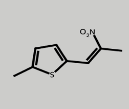 C/C(=C/c1ccc(C)s1)[N+](=O)[O-]